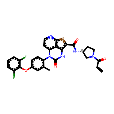 C=CC(=O)N1CC[C@@H](NC(=O)c2sc3nccc4c3c2NC(=O)N4c2ccc(Oc3c(F)cccc3F)cc2C)C1